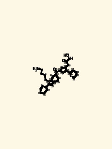 NCCCCn1c(-c2ccccc2)cc2ccc(C(=O)c3cc(CC(=O)NO)c(-c4ccccc4)s3)cc21